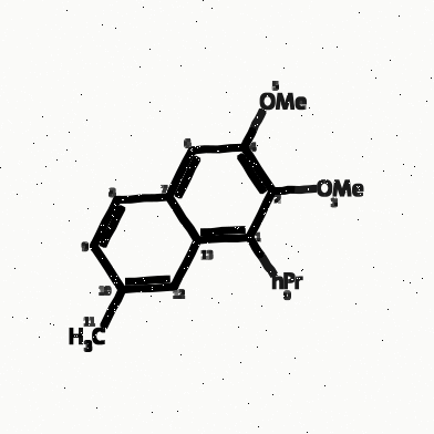 CCCc1c(OC)c(OC)cc2ccc(C)cc12